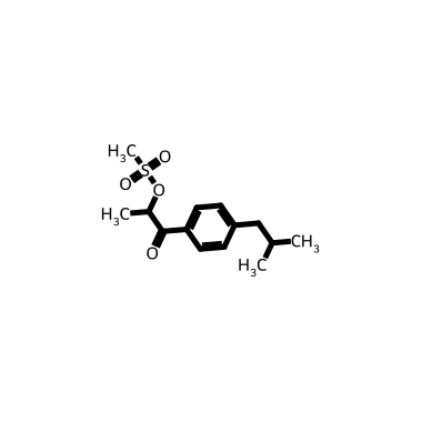 CC(C)Cc1ccc(C(=O)C(C)OS(C)(=O)=O)cc1